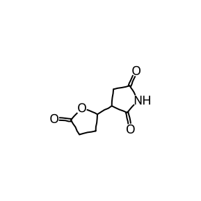 O=C1CC(C2CCC(=O)O2)C(=O)N1